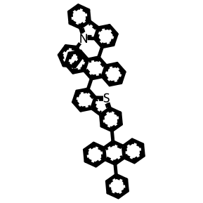 c1ccc(-c2c3ccccc3c(-c3ccc4sc5c(-c6c7ccccc7c(-c7cccc8c9ccccc9n(-c9ccccc9)c78)c7ccccc67)cccc5c4c3)c3ccccc23)cc1